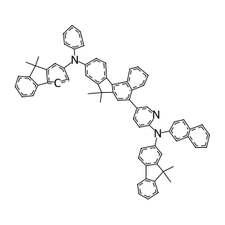 CC1(C)c2ccccc2-c2ccc(N(c3ccccc3)c3ccc4c(c3)C(C)(C)c3cc(-c5ccc(N(c6ccc7c(c6)C(C)(C)c6ccccc6-7)c6ccc7ccccc7c6)nc5)c5ccccc5c3-4)cc21